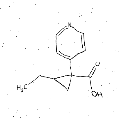 CCC1CC1(C(=O)O)c1ccncc1